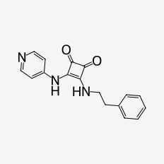 O=c1c(NCCc2ccccc2)c(Nc2ccncc2)c1=O